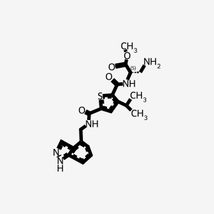 COC(=O)[C@H](CN)NC(=O)c1sc(C(=O)NCc2cccc3[nH]ncc23)cc1C(C)C